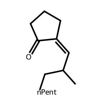 CCCCCCC(C)C=C1CCCC1=O